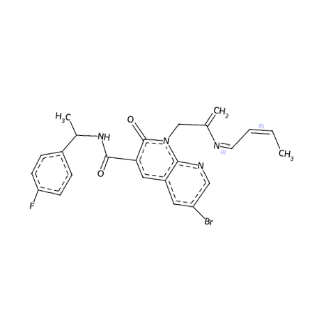 C=C(Cn1c(=O)c(C(=O)NC(C)c2ccc(F)cc2)cc2cc(Br)cnc21)/N=C\C=C/C